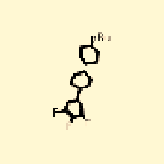 CCCC[C@H]1CC[C@H](C2CCC(c3cc(F)c(F)c(F)c3)CC2)CC1